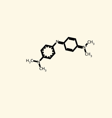 CN(C)c1ccc(N=C2C=CC(=[N+](C)C)C=C2)cc1